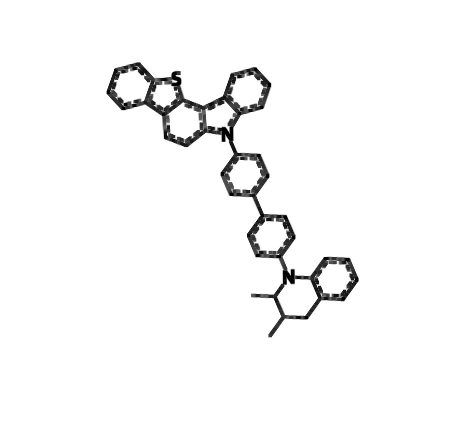 CC1Cc2ccccc2N(c2ccc(-c3ccc(-n4c5ccccc5c5c6sc7ccccc7c6ccc54)cc3)cc2)C1C